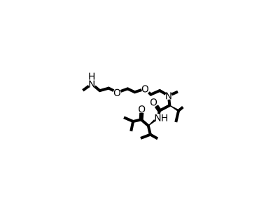 CNCCOCCOCCN(C)[C@H](C(=O)N[C@H](C(=O)C(C)C)C(C)C)C(C)C